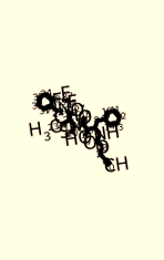 C#CCOC(=O)NC(Cc1ccccc1)C(O)C(=O)N1CSC(C)(C)C1C(=O)N(Cc1ccccc1)C(F)(F)F